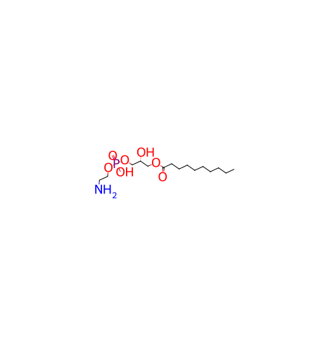 CCCCCCCCCC(=O)OC[C@@H](O)COP(=O)(O)OCCN